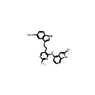 COc1ccc2[nH]cc(CCc3cnc(N)nc3Nc3cccc4[nH]c(C)cc34)c2c1